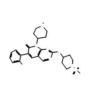 Cc1ccccc1-c1cc2cnc(NC3CCN(S(C)(=O)=O)CC3)nc2n(C2CCN(C)CC2)c1=O